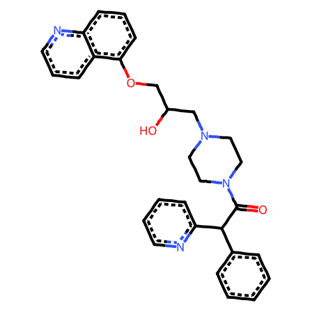 O=C(C(c1ccccc1)c1ccccn1)N1CCN(CC(O)COc2cccc3ncccc23)CC1